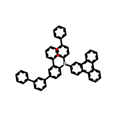 c1ccc(-c2ccc(N(c3ccc4c5ccccc5c5ccccc5c4c3)c3ccc(-c4cccc(-c5ccccc5)c4)cc3-c3ccccc3)cc2)cc1